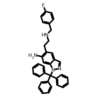 Nc1cc2c(cnn2C(c2ccccc2)(c2ccccc2)c2ccccc2)cc1CCNCc1ccc(F)cc1